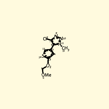 COCOc1cc(-c2c(Cl)nnn2C)cs1